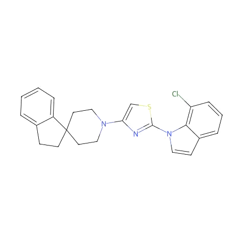 Clc1cccc2ccn(-c3nc(N4CCC5(CCc6ccccc65)CC4)cs3)c12